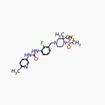 Cc1ccc(NC(=O)Nc2cccc(CN3CCN(S(C)(=O)=O)C(C)(C)C3)c2F)cn1